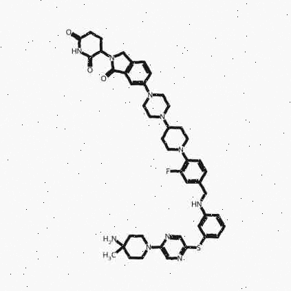 CC1(N)CCN(c2cnc(Sc3cccc(NCc4ccc(N5CCC(N6CCN(c7ccc8c(c7)C(=O)N(C7CCC(=O)NC7=O)C8)CC6)CC5)c(F)c4)c3)cn2)CC1